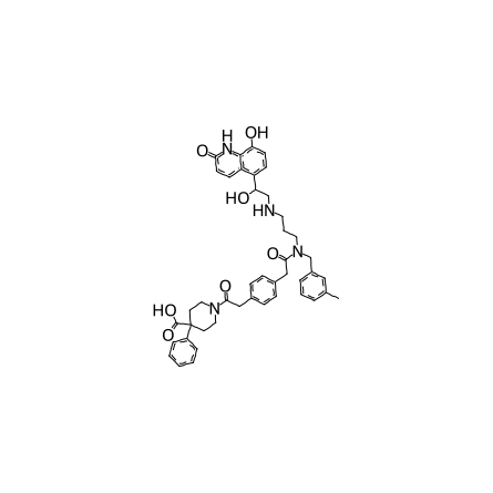 Cc1cccc(CN(CCCNCC(O)c2ccc(O)c3[nH]c(=O)ccc23)C(=O)Cc2ccc(CC(=O)N3CCC(C(=O)O)(c4ccccc4)CC3)cc2)c1